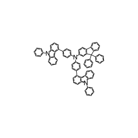 c1ccc(-n2c3ccccc3c3c(-c4ccc(N(c5ccc(-c6cccc7c6c6ccccc6n7-c6ccccc6)cc5)c5ccc6c(c5)C(c5ccccc5)(c5ccccc5)c5ccccc5-6)cc4)cccc32)cc1